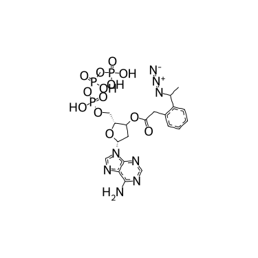 CC(N=[N+]=[N-])c1ccccc1CC(=O)OC1C[C@H](n2cnc3c(N)ncnc32)O[C@@H]1COP(=O)(O)OP(=O)(O)OP(=O)(O)O